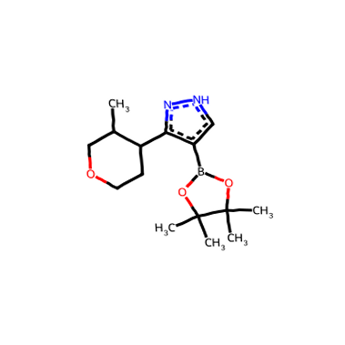 CC1COCCC1c1n[nH]cc1B1OC(C)(C)C(C)(C)O1